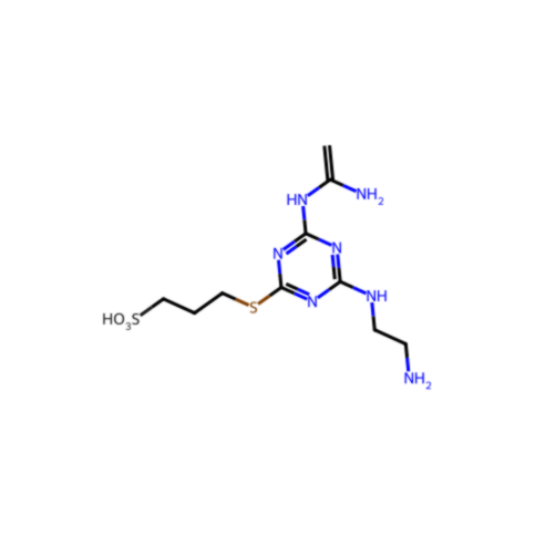 C=C(N)Nc1nc(NCCN)nc(SCCCS(=O)(=O)O)n1